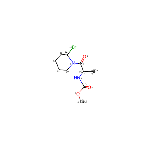 CC(C)[C@@H](NC(=O)OC(C)(C)C)C(=O)N1CCCCC1Br